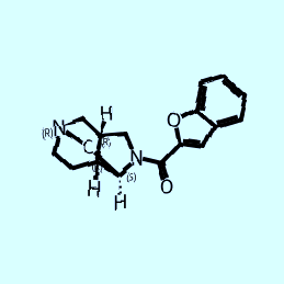 O=C(c1cc2ccccc2o1)N1C[C@H]2C[N@]3CC[C@H]2[C@H]1C3